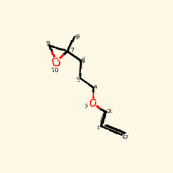 C=CCOCCCC1(C)CO1